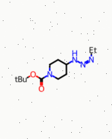 CC/N=N\NC1CCN(C(=O)OC(C)(C)C)CC1